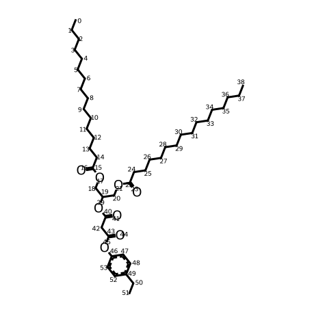 CCCCCCCCCCCCCCCC(=O)OCC(COC(=O)CCCCCCCCCCCCCCC)OC(=O)CC(=O)Oc1ccc(CC)cc1